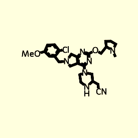 COc1ccc(Cl)c(CN2Cc3nc(OCC4CCCN4C)nc(N4CCNC(CC#N)C4)c3C2)c1